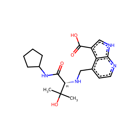 CC(C)(O)[C@@H](NCc1ccnc2[nH]cc(C(=O)O)c12)C(=O)NC1CCCC1